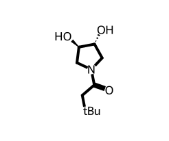 CC(C)(C)CC(=O)N1C[C@@H](O)[C@H](O)C1